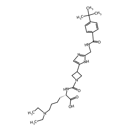 CCN(CC)CCCC[C@H](NC(=O)N1CC(c2cnc(CNC(=O)c3ccc(C(C)(C)C)cc3)[nH]2)C1)C(=O)O